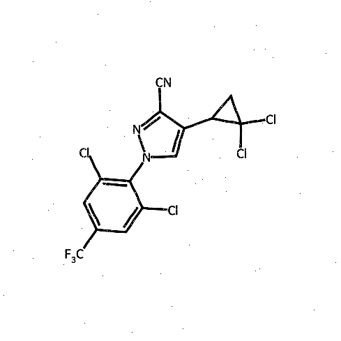 N#Cc1nn(-c2c(Cl)cc(C(F)(F)F)cc2Cl)cc1C1CC1(Cl)Cl